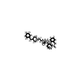 CN(Cc1ccccc1)c1cc(NC(=O)NCCN2CCC(Cc3ccccc3)CC2)ccn1